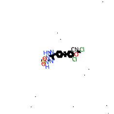 CC(C)(c1ccc(-c2n[nH]c3nc(NS(C)(=O)=O)ncc23)cc1)c1cc(Cl)c(OCCCl)c(C#N)c1